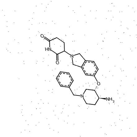 N[C@H]1CCN(Cc2ccccc2)C[C@@H]1Oc1ccc2c(c1)CN(C1CCC(=O)NC1=O)C2